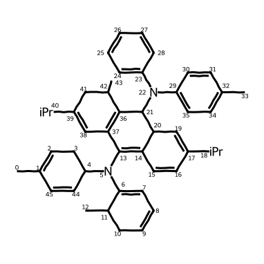 CC1=CCC(N(C2=CC=CCC2C)C2=C3C=CC(C(C)C)=CC3C(N(c3ccccc3)c3ccc(C)cc3)C3=C2C=C(C(C)C)CC3C)C=C1